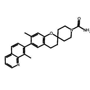 Cc1cc2c(cc1-c1ccc3cccnc3c1C)CCC1(CCN(C(N)=O)CC1)O2